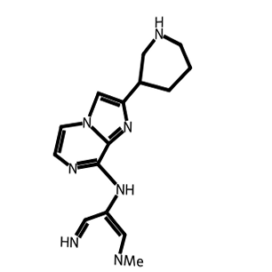 CN/C=C(\C=N)Nc1nccn2cc(C3CCCNC3)nc12